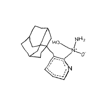 N[N+]([O-])(O)c1ncccc1C12CC3CC(CC(C3)C1)C2